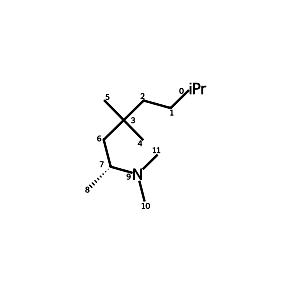 CC(C)CCC(C)(C)C[C@@H](C)N(C)C